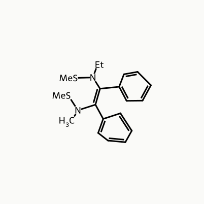 CCN(SC)/C(=C(/c1ccccc1)N(C)SC)c1ccccc1